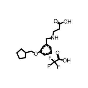 O=C(O)C(F)(F)F.O=C(O)CCNCc1cccc(OCC2CCCC2)c1